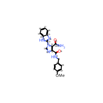 COc1ccc(CNC(=O)c2ncn(-c3nc4ccccc4[nH]3)c2C(N)=O)cc1